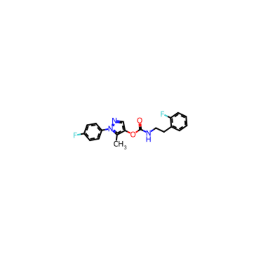 Cc1c(OC(=O)NCCc2ccccc2F)cnn1-c1ccc(F)cc1